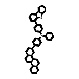 c1ccc(N(c2ccc(-c3ccc4ccc5c6ccccc6ccc5c4c3)cc2)c2ccc(-c3cccc4c3sc3ccccc34)cc2)cc1